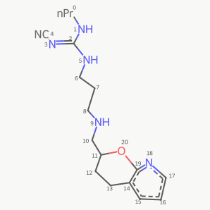 CCCNC(=NC#N)NCCCNCC1CCc2cccnc2O1